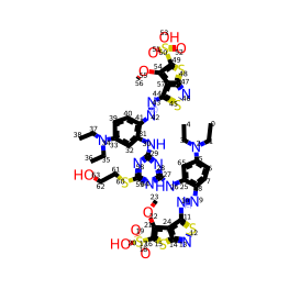 CCN(CC)c1ccc(/N=N/c2snc3sc(S(=O)(=O)O)c(OC)c23)c(Nc2nc(Nc3cc(N(CC)CC)ccc3/N=N/c3snc4sc(S(=O)(=O)O)c(OC)c34)nc(SCCO)n2)c1